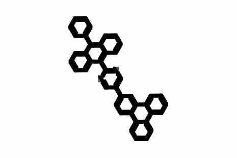 c1ccc(-c2c3ccccc3c(-c3ncc(-c4ccc5c6ccccc6c6ccccc6c5c4)cn3)c3ccccc23)cc1